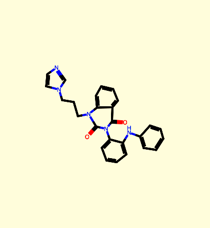 O=c1c2ccccc2n(CCCn2ccnc2)c(=O)n1-c1ccccc1Nc1ccccc1